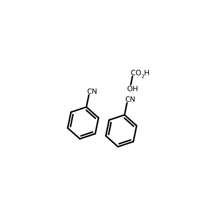 N#Cc1ccccc1.N#Cc1ccccc1.O=C(O)O